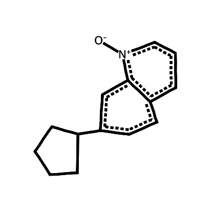 [O-][n+]1cccc2ccc(C3CCCC3)cc21